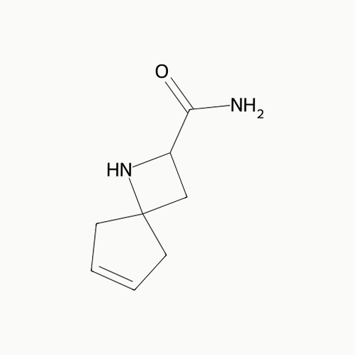 NC(=O)C1CC2(CC=CC2)N1